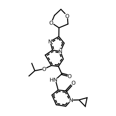 CC(C)Oc1cc2nc(C3COCCO3)cn2cc1C(=O)Nc1cccn(C2CC2)c1=O